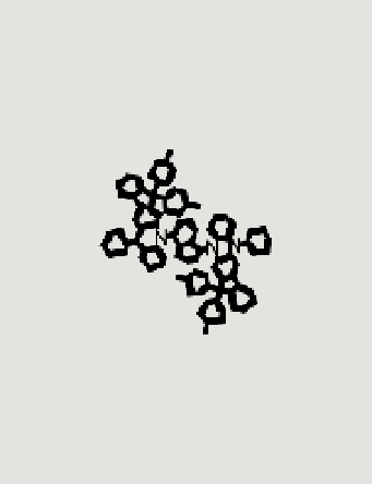 Cc1ccc(C2(c3ccc(C)cc3)c3ccccc3-c3cc4c(cc32)N(c2cccc3c(N5c6ccccc6N(c6ccccc6)c6cc7c(cc65)C(c5ccc(C)cc5)(c5ccc(C)cc5)c5ccccc5-7)cccc23)c2ccccc2C4c2ccccc2)cc1